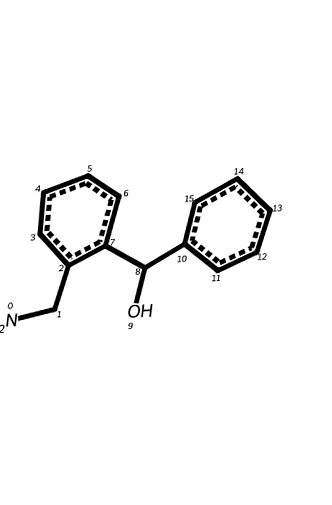 NCc1ccccc1C(O)c1ccccc1